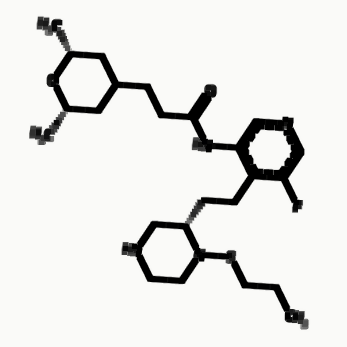 CCCSN1CCNC[C@@H]1CCc1c(F)cncc1NC(=O)CCC1C[C@@H](C)O[C@@H](C)C1